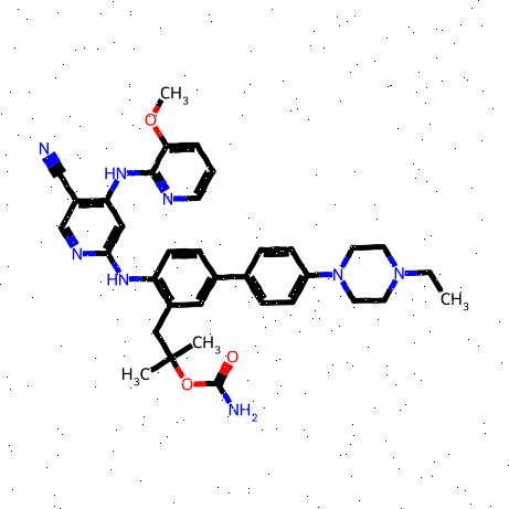 CCN1CCN(c2ccc(-c3ccc(Nc4cc(Nc5ncccc5OC)c(C#N)cn4)c(CC(C)(C)OC(N)=O)c3)cc2)CC1